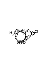 CN1CCCCS(=O)(=O)NC(=O)c2ccc3c(c2)N(CCCCc2cc(Cl)ccc2CO3)C[C@@H]2CC[C@H]2C1=O